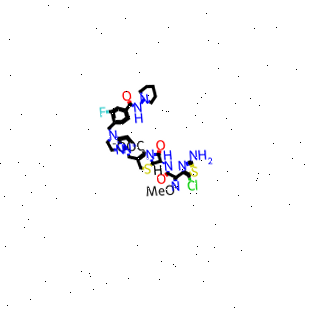 CO/N=C(\C(=O)N[C@@H]1C(=O)N2C(C(=O)[O-])=C(C[n+]3ccc4n3CCN4Cc3ccc(C(=O)NN4CCCCC4)cc3F)CS[C@H]12)c1nc(N)sc1Cl